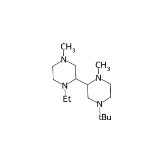 CCN1CCN(C)CC1C1CN(C(C)(C)C)CCN1C